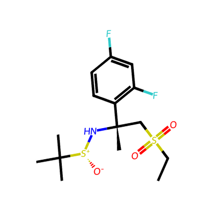 CCS(=O)(=O)C[C@](C)(N[S@+]([O-])C(C)(C)C)c1ccc(F)cc1F